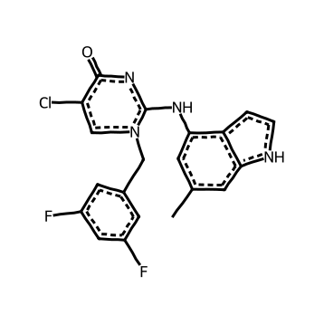 Cc1cc(Nc2nc(=O)c(Cl)cn2Cc2cc(F)cc(F)c2)c2cc[nH]c2c1